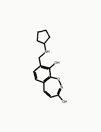 OC1=NOc2c(ccc(CNC3CCCC3)c2O)C=C1